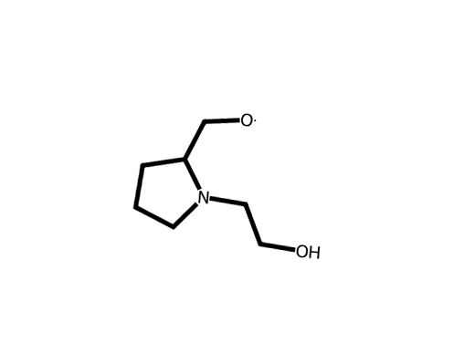 [O]CC1CCCN1CCO